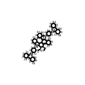 C=Cc1c(C=C)c2c(c3ccccc3n2-c2ccc(-n3c4ccccc4c4ccccc43)cc2)c2c1c1ccccc1c1c2c2ccccc2n1-c1ccc(-n2c3ccccc3c3ccccc32)cc1